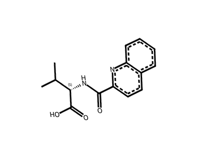 CC(C)[C@H](NC(=O)c1ccc2ccccc2n1)C(=O)O